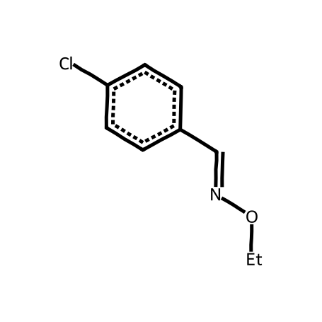 CCON=Cc1ccc(Cl)cc1